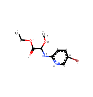 CCOC(=O)C(Nc1ccc(Br)cn1)OC